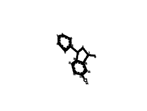 CC1CC(c2ccccc2)c2ccc(Cl)cc21